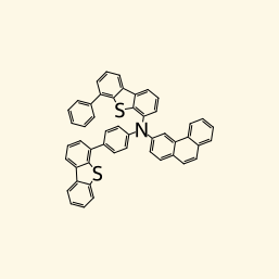 c1ccc(-c2cccc3c2sc2c(N(c4ccc(-c5cccc6c5sc5ccccc56)cc4)c4ccc5ccc6ccccc6c5c4)cccc23)cc1